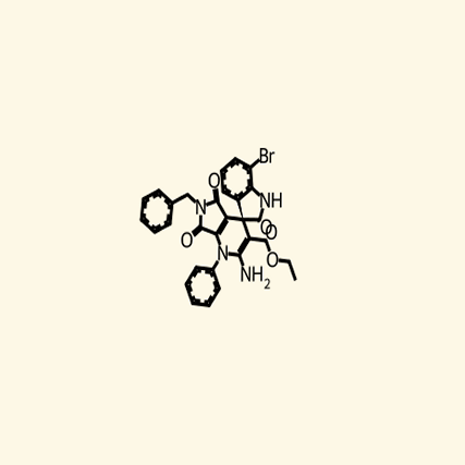 CCOC(=O)C1=C(N)N(c2ccccc2)C2=C(C(=O)N(Cc3ccccc3)C2=O)[C@]12C(=O)Nc1c(Br)cccc12